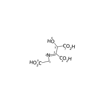 O=C(O)C/N=C(\C(=O)O)C(O)C(=O)O